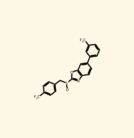 [O-][S+](Cc1ccc(C(F)(F)F)cc1)c1nc2ccc(-c3cccc(C(F)(F)F)c3)cc2o1